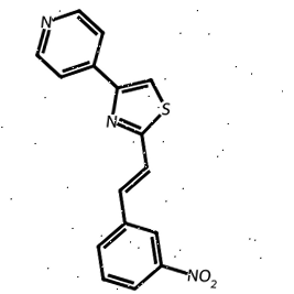 O=[N+]([O-])c1cccc(C=Cc2nc(-c3ccncc3)cs2)c1